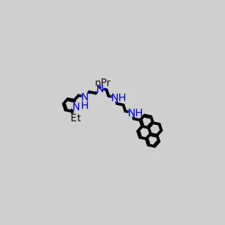 CCCN(CCNCCCNCc1ccc2c3c1ccc1cccc(c13)CC2)CCNCc1cccc(CC)n1